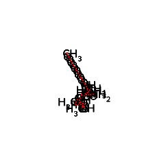 CCCOCCOCCOCCOCCOCCOCCOCCOCCOCCOCCOCCC(=O)NC(C(=O)N[C@@H](CCCNC(N)=O)C(=O)Nc1ccc(COC(=O)N[C@H]2CCc3c(C)c(F)cc4nc5c(c2c34)Cn2c-5cc3c(c2=O)COC(=O)[C@]3(O)CC)cc1)C(C)C